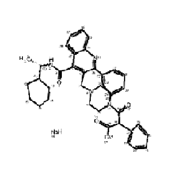 C[C@H](NC(=O)c1c(CN2CCN(C(=O)C(C(=O)O)c3ccccc3)CC2)c(-c2ccccc2)nc2ccccc12)C1CCCCC1.[NaH]